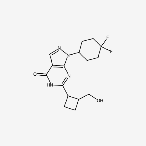 O=c1[nH]c(C2CCC2CO)nc2c1cnn2C1CCC(F)(F)CC1